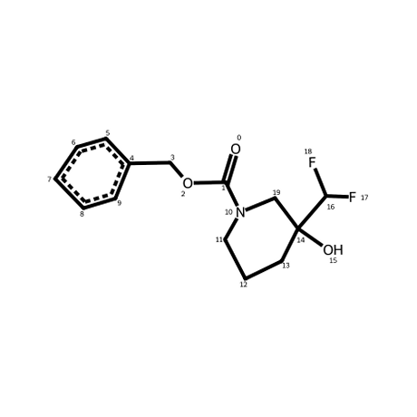 O=C(OCc1ccccc1)N1CCCC(O)(C(F)F)C1